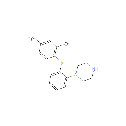 CCc1cc(C)ccc1Sc1ccccc1N1CCNCC1